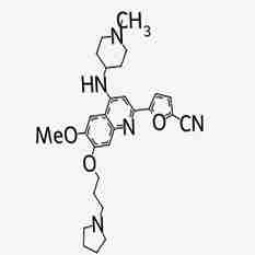 COc1cc2c(NC3CCN(C)CC3)cc(-c3ccc(C#N)o3)nc2cc1OCCCN1CCCC1